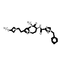 COC1CN(CCc2cc3n(n2)CC[C@H](NC(=O)c2ncn(Cc4ccccc4)n2)C(=O)N3C)C1